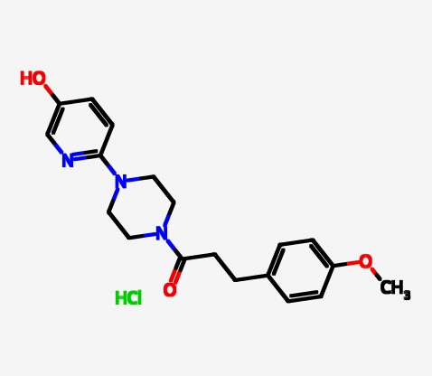 COc1ccc(CCC(=O)N2CCN(c3ccc(O)cn3)CC2)cc1.Cl